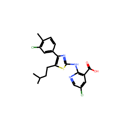 Cc1ccc(-c2nc(Nc3ncc(Cl)cc3C(=O)O)sc2CCC(C)C)cc1Cl